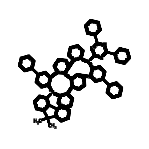 CC1(C)c2ccccc2-c2c(-n3c4ccccc4c4cccc5c6cc(-c7ccccc7)ccc6n(-c6nc(-c7ccccc7)nc(-c7ccccc7)n6)c6ccccc6c6cccc(c7cc(-c8ccccc8)ccc73)c6c54)cccc21